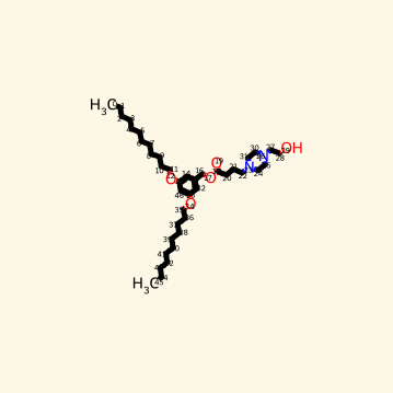 CCCCCCCCCCCCOc1cc(COC(=O)CCCN2CCN(CCO)CC2)cc(OCCCCCCCCCCC)c1